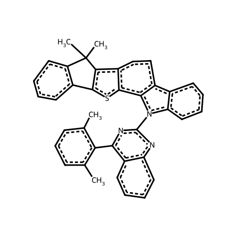 Cc1cccc(C)c1-c1nc(-n2c3ccccc3c3ccc4c5c(sc4c32)-c2ccccc2C5(C)C)nc2ccccc12